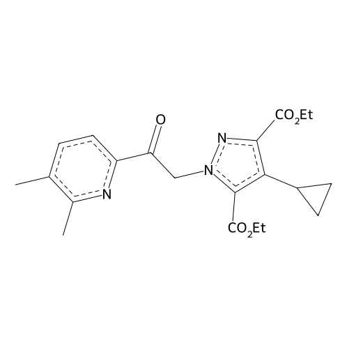 CCOC(=O)c1nn(CC(=O)c2ccc(C)c(C)n2)c(C(=O)OCC)c1C1CC1